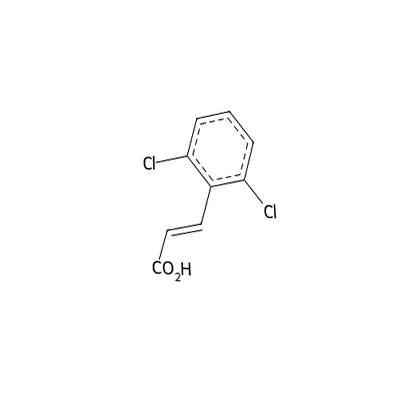 O=C(O)C=Cc1c(Cl)cccc1Cl